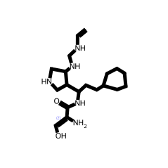 C=CNCNC1CNCC1C(CCC1CCCCC1)NC(=O)/C(N)=C/O